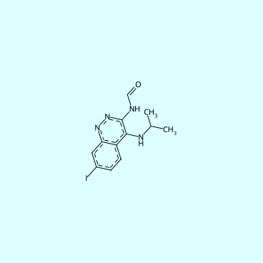 CC(C)Nc1c(NC=O)nnc2cc(I)ccc12